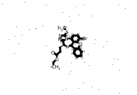 CCOC(=O)CC[C@@H]1N=C(c2ccccc2Cl)c2cc(Br)ccc2-n2c(SC)nnc21